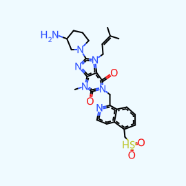 CC(C)=CCn1c(N2CCCC(N)C2)nc2c1c(=O)n(Cc1nccc3c(C[SH](=O)=O)cccc13)c(=O)n2C